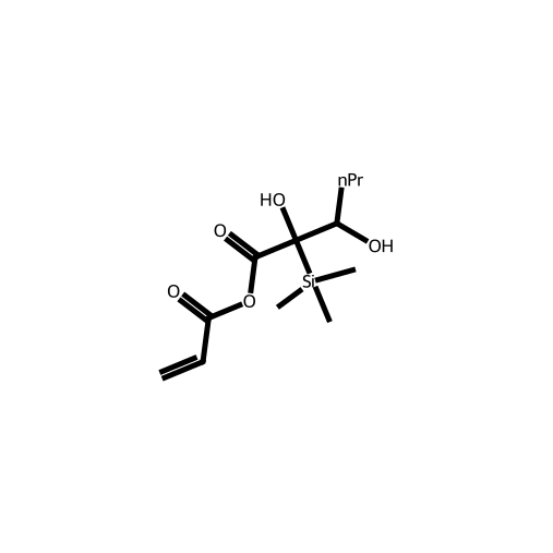 C=CC(=O)OC(=O)C(O)(C(O)CCC)[Si](C)(C)C